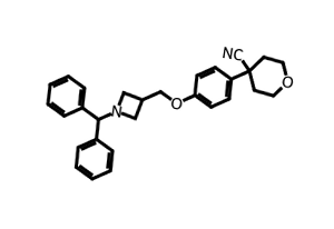 N#CC1(c2ccc(OCC3CN(C(c4ccccc4)c4ccccc4)C3)cc2)CCOCC1